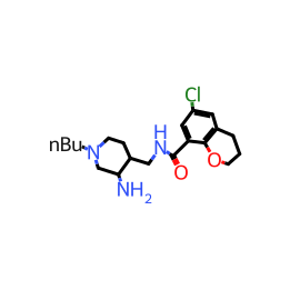 CCCCN1CCC(CNC(=O)c2cc(Cl)cc3c2OCCC3)C(N)C1